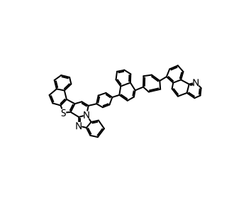 c1ccc2c(c1)ccc1sc3c(cc(-c4ccc(-c5ccc(-c6ccc(-c7cccc8c7ccc7cccnc78)cc6)c6ccccc56)cc4)n4c5ccccc5nc34)c12